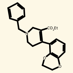 CCOC(=O)C1=C(c2cccc3c2OCCO3)CCN(Cc2ccccc2)C1